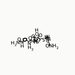 NC(=O)CCn1nnnc1SCC1=C(C(=O)O)N2C(=O)C(NC(=O)C(N)c3cccc(NC(N)=O)c3)[C@H]2SC1